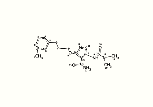 Cc1cccc(CCCOc2nsc(NC(=O)N(C)C)c2C(N)=O)c1